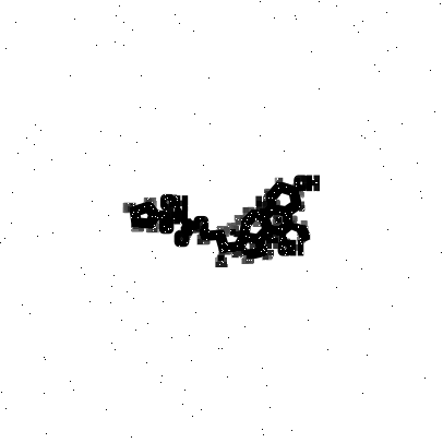 CC[C@@H]1C2C[C@H](O)CC[C@]2(C)[C@H]2CC[C@@]3(C)C(CC[C@@H]3[C@H](C)CCOC(=O)NS(=O)(=O)C3CCCC3)[C@@H]2[C@@H]1O